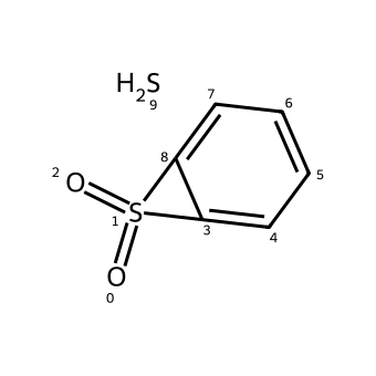 O=S1(=O)c2ccccc21.S